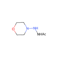 CC(=O)NNN1CCOCC1